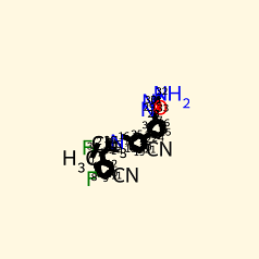 CC(C)(F)[C@H](c1cc(F)cc(C#N)c1)C1CN(Cc2ccc(C#N)c(-c3cccc(-c4nnc(N)o4)c3)c2)C1